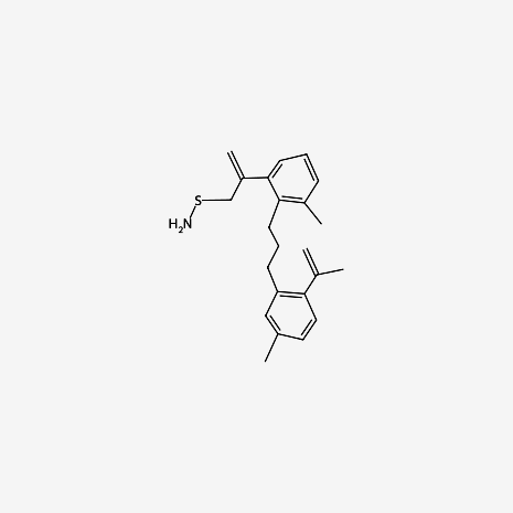 C=C(C)c1ccc(C)cc1CCCc1c(C)cccc1C(=C)CSN